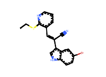 CCSc1ncccc1/C=C(\C#N)c1c[nH]c2ccc(Br)cc12